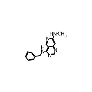 CNc1cc2ncnc(NCc3ccccc3)c2cn1